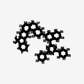 CC1(C)c2ccccc2-c2cc3c(ccc4ccc5cc(-c6cc(-c7nc(-c8ccccc8)nc(-c8ccccc8)n7)c7ccccc7c6)ccc5c43)cc21